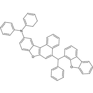 C1=CCCC(N(c2ccccc2)c2ccc3oc4cc(C(c5ccccc5)c5cccc6c5oc5ccccc56)c5ccccc5c4c3c2)=C1